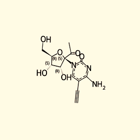 C#Cc1cn([C@]2(C(C)=O)O[C@H](CO)[C@@H](O)[C@H]2O)c(=O)nc1N